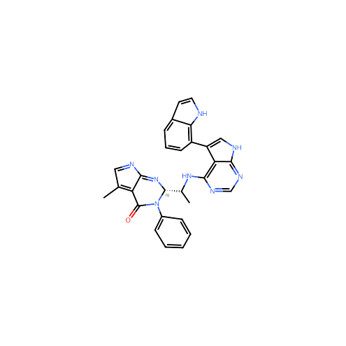 CC1=C2C(=O)N(c3ccccc3)[C@@H](C(C)Nc3ncnc4[nH]cc(-c5cccc6cc[nH]c56)c34)N=C2N=C1